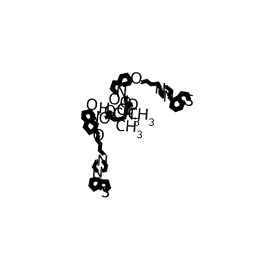 CC(C)(CC(=O)OCn1c(=O)ccc2ccc(OCCCCN3CCN(c4cccc5sccc45)CC3)cc21)CC(C)(C)C(=O)OCn1c(=O)ccc2ccc(OCCCCN3CCN(c4cccc5sccc45)CC3)cc21